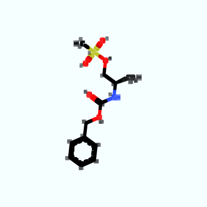 CS(=O)(=O)OC[C@H](NC(=O)OCc1ccccc1)C(=O)O